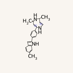 C=C1/C=C(/c2ccc(-c3cc4ccc(C)cc4[nH]3)cc2)N/C=C/C(C)N1